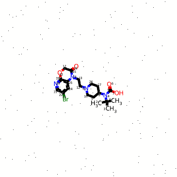 CC(C)(C)N(C(=O)O)C1CCN(CCN2C(=O)COc3ncc(Br)cc32)CC1